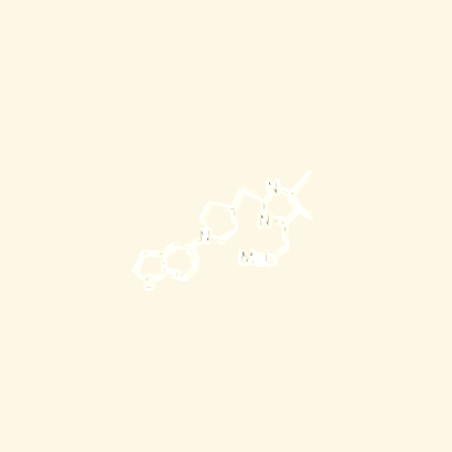 COCc1nc(CC2CCN(c3ccc4sccc4c3)CC2)nc(C)c1C